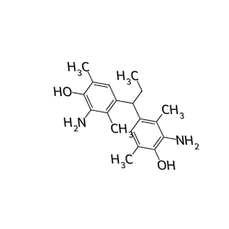 CCC(c1cc(C)c(O)c(N)c1C)c1cc(C)c(O)c(N)c1C